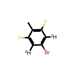 [2H]c1c(F)c(C)c(F)c([2H])c1Br